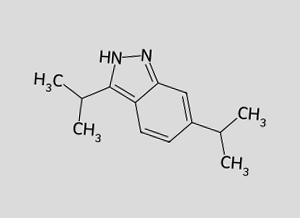 CC(C)c1ccc2c(C(C)C)[nH]nc2c1